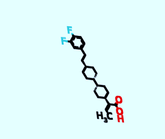 CC=C(C(=O)O)[C@H]1CC[C@H]([C@H]2CC[C@H](CCc3ccc(F)c(F)c3)CC2)CC1